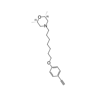 C#Cc1ccc(OCCCCCCCN2C[C@@H](C)O[C@@H](C)C2)cc1